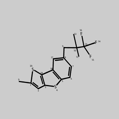 Cc1cc2sc3ccc(CC(C)(C)C(F)(F)F)cc3c2s1